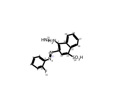 Nc1c(/N=N/c2ccccc2F)cc(S(=O)(=O)O)c2ccccc12.[NaH]